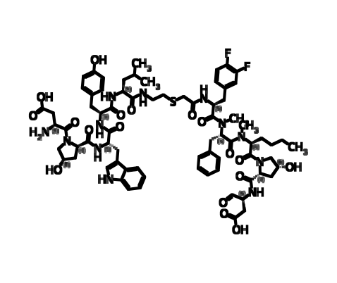 CCCC[C@@H](C(=O)N1C[C@H](O)C[C@@H]1C(=O)N[C@H](C=O)CC(=O)O)N(C)C(=O)[C@H](Cc1ccccc1)N(C)C(=O)[C@H](Cc1ccc(F)c(F)c1)NC(=O)CSCCNC(=O)[C@H](CC(C)C)NC(=O)[C@H](Cc1ccc(O)cc1)NC(=O)[C@H](Cc1c[nH]c2ccccc12)NC(=O)[C@H]1C[C@@H](O)CN1C(=O)[C@@H](N)CC(=O)O